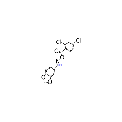 O=C(O/N=C/c1ccc2c(c1)OCO2)c1ccc(Cl)cc1Cl